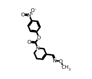 CON=CC1=CCCN(C(=O)Oc2ccc([N+](=O)[O-])cc2)C1